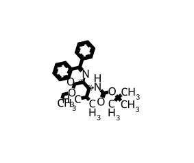 CCOC(=O)[C@@H](N=C(c1ccccc1)c1ccccc1)[C@H](NC(=O)OC(C)(C)C)C(C)C